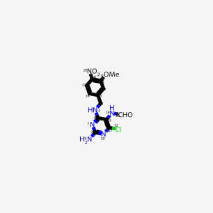 COc1cc(CNc2nc(N)nc(Cl)c2NC=O)ccc1[N+](=O)[O-]